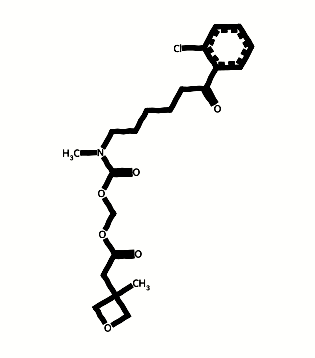 CN(CCCCCC(=O)c1ccccc1Cl)C(=O)OCOC(=O)CC1(C)COC1